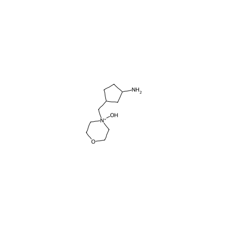 NC1CCC(C[N+]2(O)CCOCC2)C1